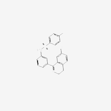 Cc1ccc(S(=O)(=O)Nc2cccc(C3=NCCc4ccc(Cl)cc43)c2)cc1